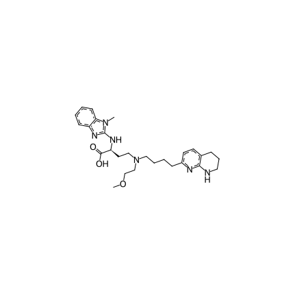 COCCN(CCCCc1ccc2c(n1)NCCC2)CC[C@H](Nc1nc2ccccc2n1C)C(=O)O